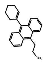 [SiH3]CCc1c2ccccc2c(C2=CCCCC2)c2ccccc12